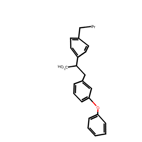 CC(C)Cc1ccc(C(Cc2cccc(Oc3ccccc3)c2)C(=O)O)cc1